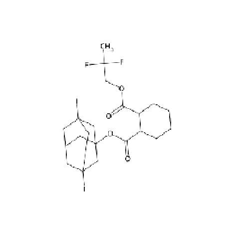 CC(F)(F)COC(=O)C1CCCCC1C(=O)OC12CC3CC(I)(CC(I)(C3)C1)C2